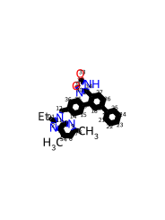 CCc1nc2c(C)cc(C)nc2n1Cc1ccc(-c2cc(-c3ccccc3)ccc2-c2noc(=O)[nH]2)cc1